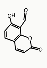 O=Cc1c(O)ccc2ccc(=O)oc12